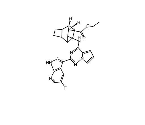 CCOC(=O)[C@@H]1C(Nc2nc(-c3n[nH]c4ncc(F)cc34)nn3cccc23)C2CC[C@H]1C1CCC21